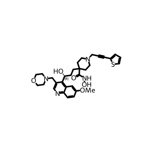 COc1ccc2ncc(CN3CCOCC3)c([C@H](O)CCC3(C(=O)NO)CCN(CC#Cc4cccs4)CC3)c2c1